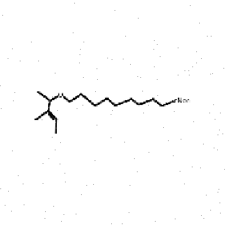 CC=C(C)C(C)OCCCCCCCCCCCCCCCCCC